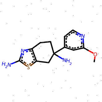 COc1cc(C2(N)CCc3nc(N)sc3C2)ccn1